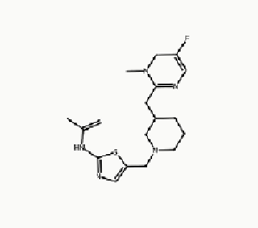 C=C(C)Nc1ncc(CN2CCCC(CC3=NC=C(F)CN3C)C2)s1